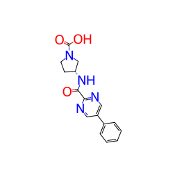 O=C(N[C@@H]1CCN(C(=O)O)C1)c1ncc(-c2ccccc2)cn1